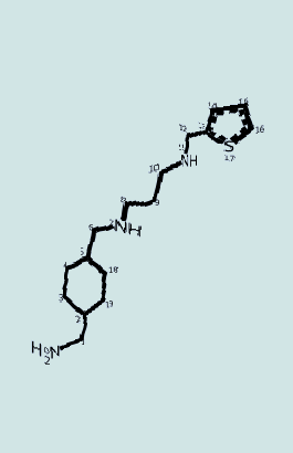 NCC1CCC(CNCCCNCc2cccs2)CC1